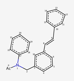 CC(=O)N(Cc1cccc(/C=C/c2ccccc2)c1)c1ccccc1